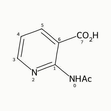 CC(=O)Nc1ncccc1C(=O)O